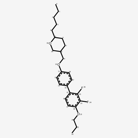 CCCCCC1CCC(COc2ccc(-c3ccc(OCCC)c(F)c3F)cc2)CO1